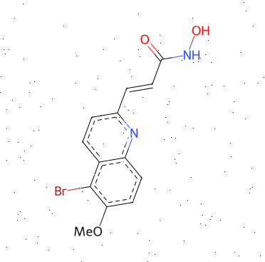 COc1ccc2nc(C=CC(=O)NO)ccc2c1Br